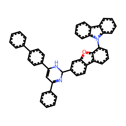 C1=C(c2ccc(-c3ccccc3)cc2)NC(c2ccc3c(c2)oc2c(-n4c5ccccc5c5ccccc54)cccc23)N=C1c1ccccc1